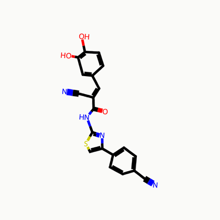 N#C/C(=C\c1ccc(O)c(O)c1)C(=O)Nc1nc(-c2ccc(C#N)cc2)cs1